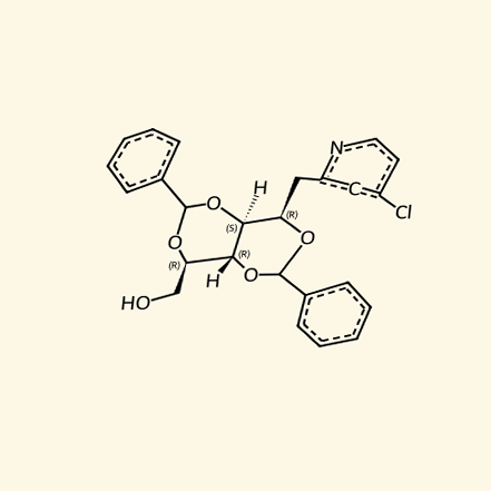 OC[C@H]1OC(c2ccccc2)O[C@@H]2[C@@H]1OC(c1ccccc1)O[C@@H]2Cc1cc(Cl)ccn1